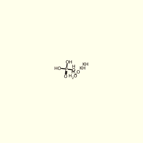 O.O.O=P(O)(O)O.[KH].[KH]